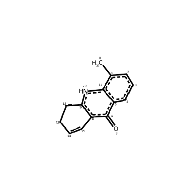 Cc1cccc2c(=O)c3c([nH]c12)CCC=C3